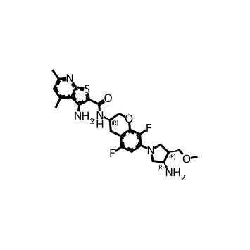 COC[C@@H]1CN(c2cc(F)c3c(c2F)OC[C@H](NC(=O)c2sc4nc(C)cc(C)c4c2N)C3)C[C@@H]1N